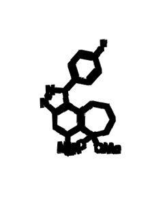 COC1(OC)CCCCC2=C1C(C#N)CC1=C2C(c2ccc(F)cc2)N=N1